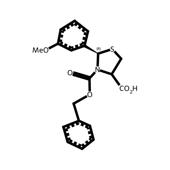 COc1cccc([C@H]2SCC(C(=O)O)N2C(=O)OCc2ccccc2)c1